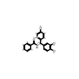 O=C(N[C@@H](c1ccc(Cl)c(Cl)c1)c1ccc(Cl)cn1)c1ccccc1